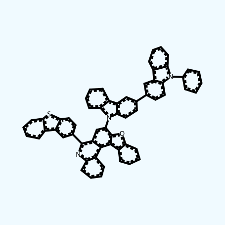 c1ccc(-n2c3ccccc3c3cc(-c4ccc5c(c4)c4ccccc4n5-c4cc5c(-c6ccc7sc8ccccc8c7c6)nc6ccccc6c5c5c4oc4ccccc45)ccc32)cc1